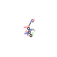 Cn1c2cc(OCCCCN3CCOCC3)c(O)cc2c2c3c(c(-c4ccccc4Cl)cc21)C(=O)NC3=O